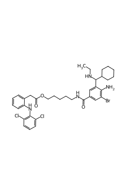 CCNC(c1cc(C(=O)NCCCCCOC(=O)Cc2ccccc2Nc2c(Cl)cccc2Cl)cc(Br)c1N)C1CCCCC1